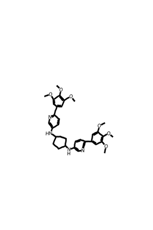 COc1cc(-c2ccc(NC3CCC(Nc4ccc(-c5cc(OC)c(OC)c(OC)c5)nc4)CC3)cn2)cc(OC)c1OC